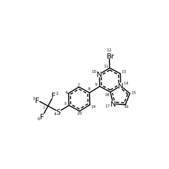 FC(F)(F)Sc1ccc(-c2nc(Br)cn3ccnc23)cc1